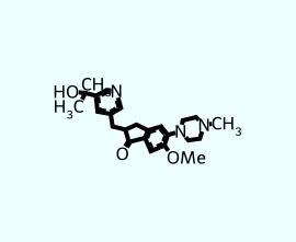 COc1cc2c(cc1N1CCN(C)CC1)CC(Cc1cncc(C(C)(C)O)c1)C2=O